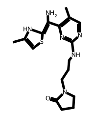 CC1=CS/C(=C(/N)c2nc(NCCCN3CCCC3=O)ncc2C)N1